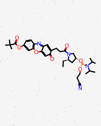 CC[C@@H]1C[C@@H](OP(OCCC#N)N(C(C)C)C(C)C)CN1C(=O)CCc1cc2nc3ccc(OC(=O)C(C)(C)C)cc3oc-2cc1=O